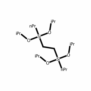 CCC[Si](CC[Si](CCC)(OC(C)C)OC(C)C)(OC(C)C)OC(C)C